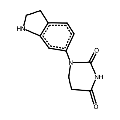 O=C1CCN(c2ccc3c(c2)NCC3)C(=O)N1